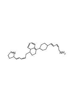 NC/C=C\C=C\C1CCC(C2=C3C=CC=CC3C(C/C=C\C=C\C3CCC=N3)CC2)CC1